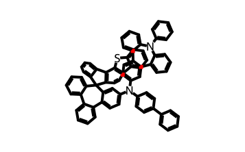 c1ccc(-c2ccc(N(c3ccc4c(c3)-c3ccccc3N(c3ccccc3)c3ccccc3-4)c3ccc4c(c3)C3(c5ccccc5-c5ccccc5-4)c4ccccc4-c4c3ccc3c4sc4ccccc43)cc2)cc1